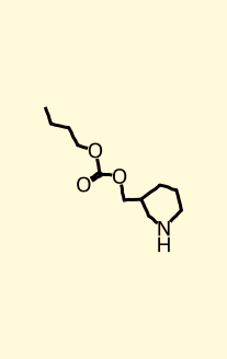 CCCCOC(=O)OCC1CCCNC1